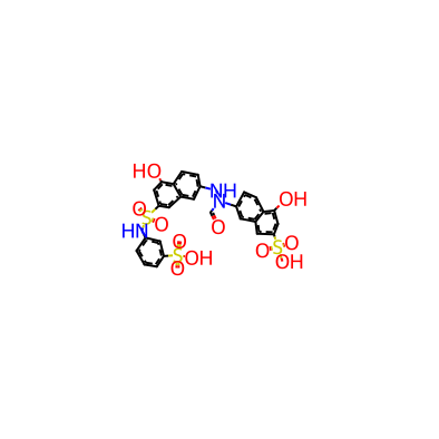 O=CN(Nc1ccc2c(O)cc(S(=O)(=O)Nc3cccc(S(=O)(=O)O)c3)cc2c1)c1ccc2c(O)cc(S(=O)(=O)O)cc2c1